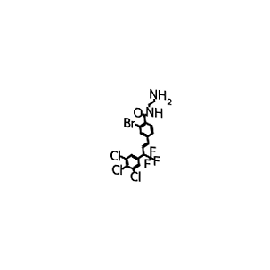 NCCNC(=O)c1ccc(C=CC(c2cc(Cl)c(Cl)c(Cl)c2)C(F)(F)F)cc1Br